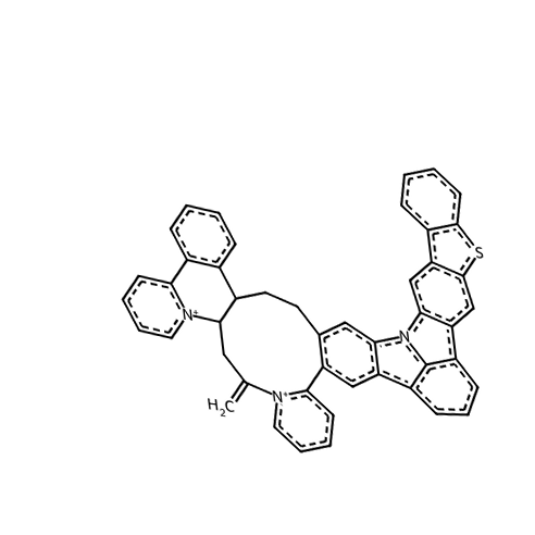 C=C1CC2C(CCc3cc4c(cc3-c3cccc[n+]31)c1cccc3c5cc6sc7ccccc7c6cc5n4c13)c1ccccc1-c1cccc[n+]12